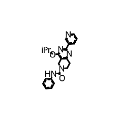 CC(C)Oc1nc(-c2cccnc2)nc2c1CN(C(=O)Nc1ccccc1)CC2